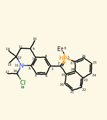 CC[PH]1=C(c2ccc3c(c2)C(C)CC(C)(C)N3C(C)Cl)c2cccc3cccc1c23